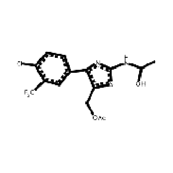 CC(=O)OCc1sc(NC(C)O)nc1-c1ccc(Cl)c(C(F)(F)F)c1